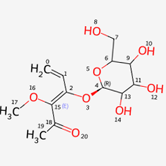 C=C/C(O[C@H]1OC(CO)C(O)C(O)C1O)=C(\OC)C(C)=O